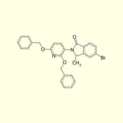 CC1c2cc(Br)ccc2C(=O)N1c1ccc(OCc2ccccc2)nc1OCc1ccccc1